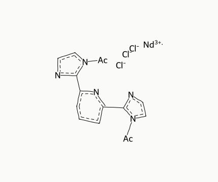 CC(=O)n1ccnc1-c1cccc(-c2nccn2C(C)=O)n1.[Cl-].[Cl-].[Cl-].[Nd+3]